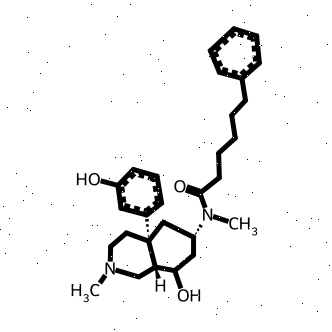 CN1CC[C@@]2(c3cccc(O)c3)C[C@H](N(C)C(=O)CCCCCc3ccccc3)CC(O)[C@@H]2C1